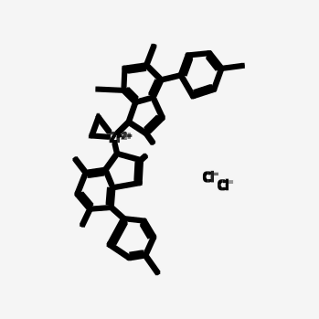 CC1=Cc2c(-c3ccc(C)cc3)c(C)cc(C)c2[CH]1[Zr+2]1([CH]2C(C)=Cc3c(-c4ccc(C)cc4)c(C)cc(C)c32)[CH2][CH2]1.[Cl-].[Cl-]